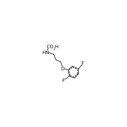 O=C(O)NCCCOc1cc(F)ccc1F